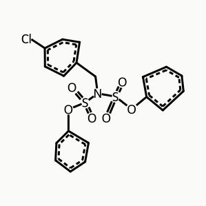 O=S(=O)(Oc1ccccc1)N(Cc1ccc(Cl)cc1)S(=O)(=O)Oc1ccccc1